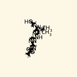 CC(C)n1nc(N2CC(O)C2)c2cnc(Nc3ccnc(-c4cnn(S(=O)(=O)C5CC5)c4)n3)cc21